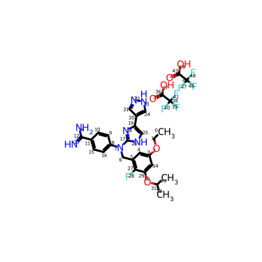 CCOc1cc(CN(c2ccc(C(=N)N)cc2)c2nc(-c3cn[nH]c3)c[nH]2)c(F)c(OC(C)C)c1.O=C(O)C(F)(F)F.O=C(O)C(F)(F)F